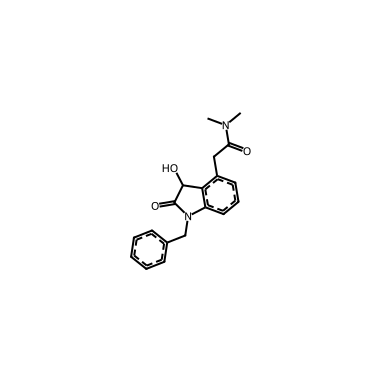 CN(C)C(=O)Cc1cccc2c1C(O)C(=O)N2Cc1ccccc1